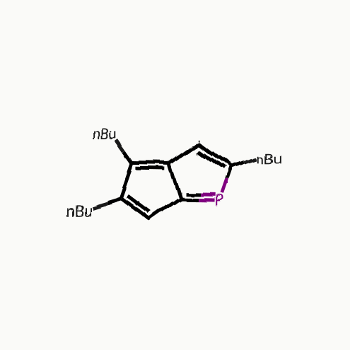 CCCCC1=[C]C2=C(CCCC)C(CCCC)=CC2=P1